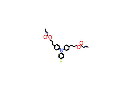 C/C=C/C(=O)OCCCc1ccc(N(c2ccc(F)cc2)c2ccc(CCCOC(=O)/C=C/C)cc2)cc1